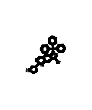 Brc1nn(C(c2ccccc2)(c2ccccc2)c2ccccc2)c2cc3cnc(C4CCNC4)nc3cc12